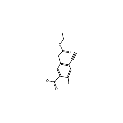 C#Cc1cc(F)c([N+](=O)[O-])cc1CC(=O)OCC